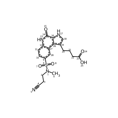 CN(CCC#N)S(=O)(=O)c1ccc2[nH]c(=O)c3[nH]cc(CCCC(=O)O)c3c2c1